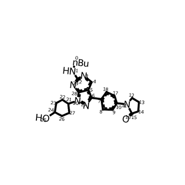 CCCCNc1ncc2c(-c3ccc(N4CCCC4=O)cc3)nn(C3CCC(O)CC3)c2n1